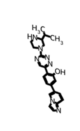 CC(C)C1CN(c2ncc(-c3ccc(-c4ccc5nccn5c4)cc3O)nn2)CCN1